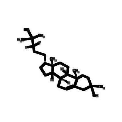 CC(C)(O)C(F)(F)CC[C@H]1CC[C@H]2[C@@H]3CC=C4C[C@@](C)(O)CC[C@]4(C)[C@H]3CC[C@]12C